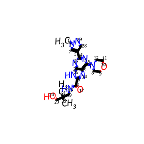 Cn1cc(-c2nc(N3CCOCC3)c3nc(C(=O)NCC(C)(C)CO)[nH]c3n2)cn1